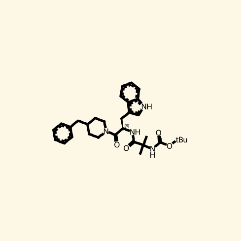 CC(C)(C)OC(=O)NC(C)(C)C(=O)N[C@H](Cc1c[nH]c2ccccc12)C(=O)N1CCC(Cc2ccccc2)CC1